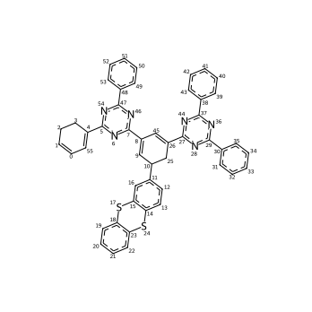 C1=CCCC(c2nc(C3=CC(c4ccc5c(c4)Sc4ccccc4S5)CC(c4nc(-c5ccccc5)nc(-c5ccccc5)n4)=C3)nc(-c3ccccc3)n2)=C1